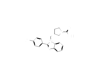 O=C(O)N1CC[C@H](Cn2c(-c3ccc(Br)cc3)nc3ccccc32)C1